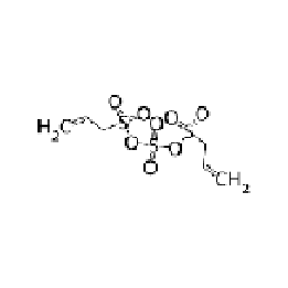 C=CCS(=O)(=O)OS(=O)(=O)OS(=O)(=O)CC=C